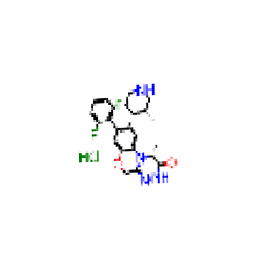 C[C@@H]1C(=O)NN=C2COc3cc(-c4c(F)cccc4F)c([C@@H]4CCNC[C@@H]4C)cc3N21.Cl